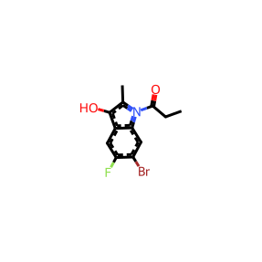 CCC(=O)n1c(C)c(O)c2cc(F)c(Br)cc21